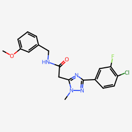 COc1cccc(CNC(=O)Cc2nc(-c3ccc(Cl)c(F)c3)nn2C)c1